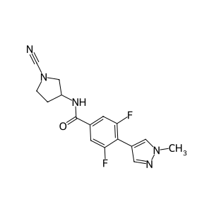 Cn1cc(-c2c(F)cc(C(=O)NC3CCN(C#N)C3)cc2F)cn1